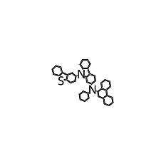 c1ccc(N(c2ccc3c4ccccc4n(-c4ccc5sc6ccccc6c5c4)c3c2)c2cc3ccccc3c3ccccc23)cc1